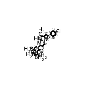 BC(B)(B)N1C(=O)N(c2ccnc(NC(C)c3cn(-c4ccc(Cl)cc4)cn3)n2)CC1(B)B